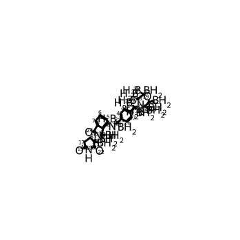 BC(B)(Nc1cccc2c1C(B)(B)N(C1(B)CCC(=O)NC1=O)C2=O)c1ccc(C(B)(B)N2C(B)(B)C(B)(B)OC(B)(B)C2(B)B)cc1